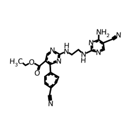 CCOC(=O)c1cnc(NCCNc2ncc(C#N)c(N)n2)nc1-c1ccc(C#N)cc1